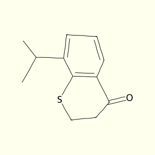 CC(C)c1cccc2c1SCCC2=O